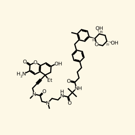 CCC1(C#CCN(C)C(=O)CN(C)CCNC(=O)C(C)(C)NC(=O)CCCc2ccc(Cc3cc([C@@H]4OC[C@@H](O)C[C@H]4O)ccc3C)cc2)CC(O)=Cc2oc(=O)c(N)cc21